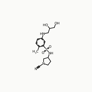 Cc1ccc(NCC(O)CO)cc1S(=O)(=O)NC1CCN(C#N)C1